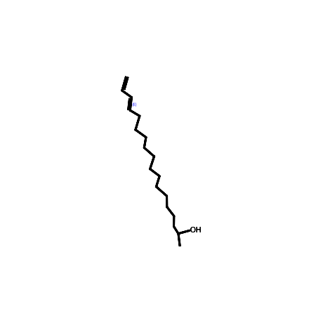 C=C/C=C/CCCCCCCCCCCCC(C)O